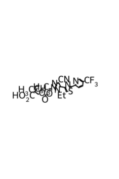 CCc1sc(-c2ccc(C(F)(F)F)cn2)nc1-c1nn(C(C)OC(=O)OCC(C)(C)C(=O)O)nc1C#N